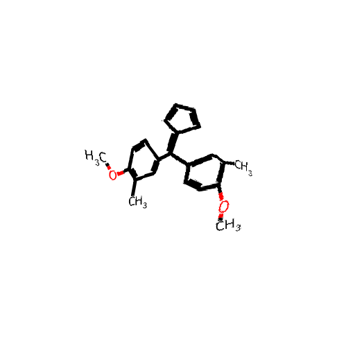 COc1ccc(C(=C2[C]=CC=C2)c2ccc(OC)c(C)c2)cc1C